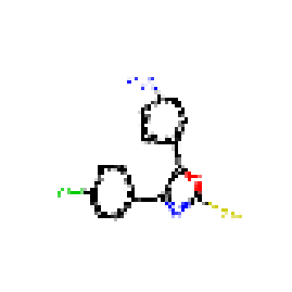 Nc1ccc(-c2oc(S)nc2-c2ccc(Cl)cc2)cc1